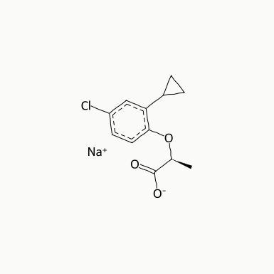 C[C@H](Oc1ccc(Cl)cc1C1CC1)C(=O)[O-].[Na+]